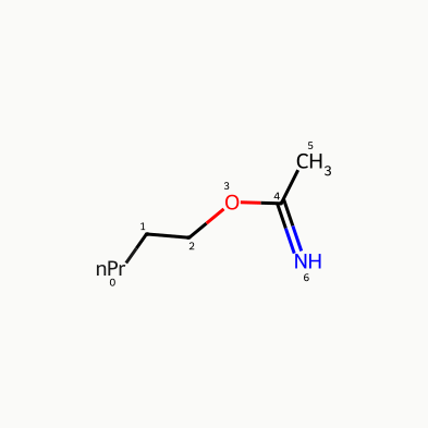 CCCCCOC(C)=N